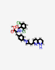 COC(=O)[C@H](Cc1ccc(N2CC(Cc3ccc4c(n3)NCCC4)C2)cc1)NC(=O)c1c(Cl)cccc1Cl